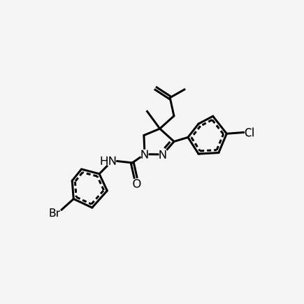 C=C(C)CC1(C)CN(C(=O)Nc2ccc(Br)cc2)N=C1c1ccc(Cl)cc1